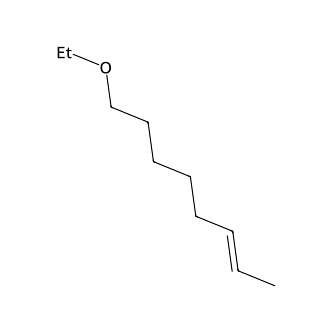 [CH2]COCCCCCC=CC